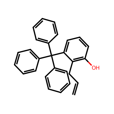 C=CCc1c(O)cccc1C(c1ccccc1)(c1ccccc1)c1ccccc1